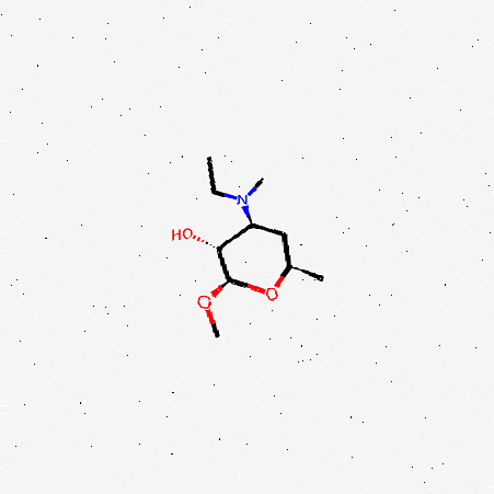 CCN(C)[C@H]1C[C@@H](C)O[C@@H](OC)[C@@H]1O